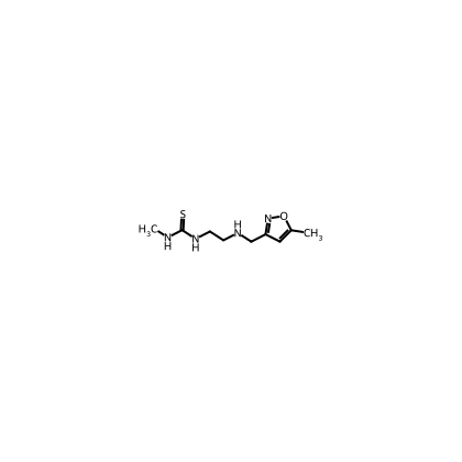 CNC(=S)NCCNCc1cc(C)on1